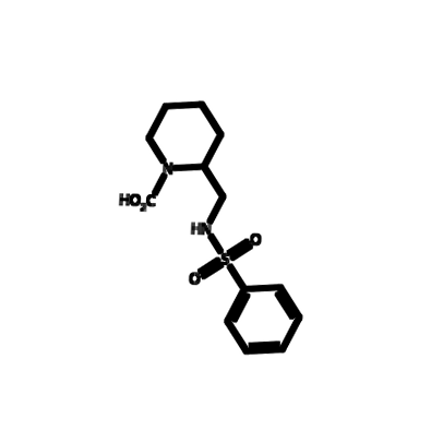 O=C(O)N1CCCCC1CNS(=O)(=O)c1ccccc1